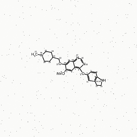 COc1cc2c(Oc3ccc4c(c3)CCN4)ncnc2cc1OCC1CCN(C)CC1